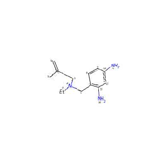 C=C(C)CN(CC)Cc1ccc(N)cc1N